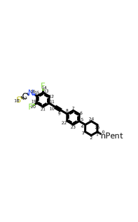 CCCCCC1CCC(c2ccc(C#Cc3cc(F)c(N=C=S)c(F)c3)cc2)CC1